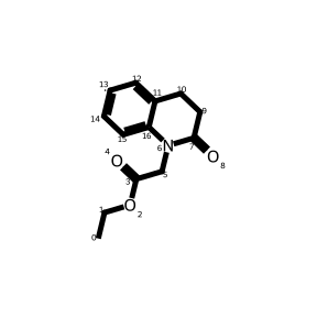 CCOC(=O)CN1C(=O)CCc2c[c]ccc21